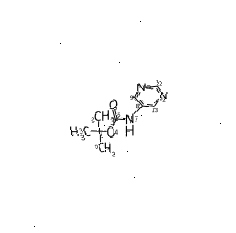 CC(C)(C)OC(=O)Nc1cncnc1